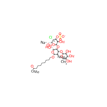 COC(=O)CCCCCCCCO[C@@H]1O[C@H](CO)[C@@H](O[C@@H]2O[C@H](CO)[C@H](Cl)[C@H](OS(=O)(=O)[O-])[C@H]2O)[C@H](O[C@@H]2O[C@@H](C)[C@@H](O)[C@@H](O)[C@@H]2O)[C@H]1NC(C)=O.[Na+]